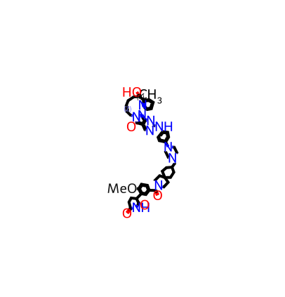 COc1ccc(C(=O)N2CCC3(CCC(CN4CCN(c5ccc(Nc6ncc7c(=O)n8n(c7n6)-c6cccc(n6)[C@](C)(O)CC/C=C\C8)cc5)CC4)CC3)CC2)cc1C1CCC(=O)NC1=O